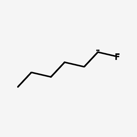 CCCCC[C]F